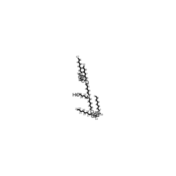 CCCCCCCC[Si](C)(C)O[Si](C)(C)OC(CCCCCCC)OCCCCCCN(CCCCO)CCCCCCOC(CCCCCCC)O[Si](C)(C)O[Si](C)(C)CCCCCCCC